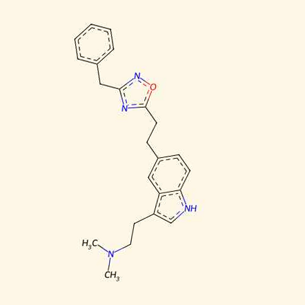 CN(C)CCc1c[nH]c2ccc(CCc3nc(Cc4ccccc4)no3)cc12